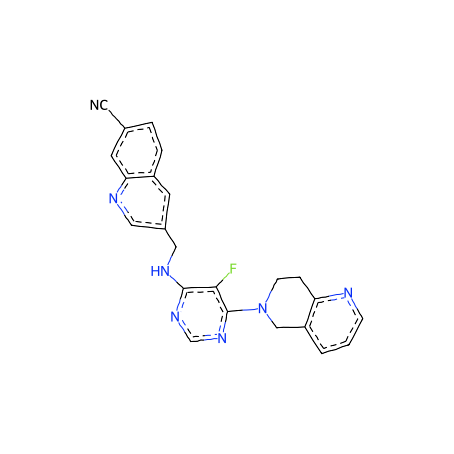 N#Cc1ccc2cc(CNc3ncnc(N4CCc5ncccc5C4)c3F)cnc2c1